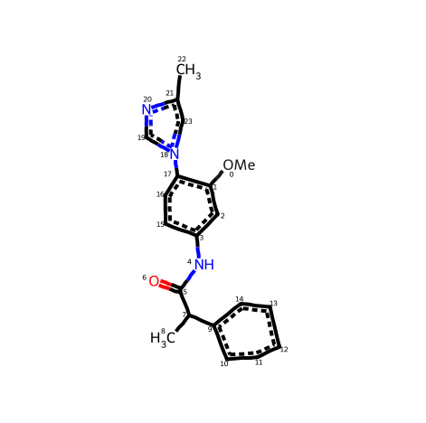 COc1cc(NC(=O)C(C)c2ccccc2)ccc1-n1cnc(C)c1